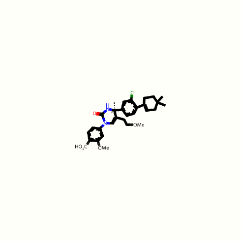 COCCC1=CN(c2ccc(C(=O)O)c(OC)c2)C(=O)N[C@@]1(C)c1ccc(C2=CCC(C)(C)CC2)c(Cl)c1